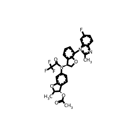 CC(=O)O[C@H]1c2ccc(N(C(=O)C(F)(F)F)[C@@H]3COc4c3cccc4-n3c(C)nc4ccc(F)cc43)cc2OC1C